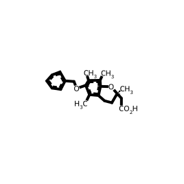 Cc1c(C)c2c(c(C)c1OCc1ccccc1)CC[C@](C)(CC(=O)O)O2